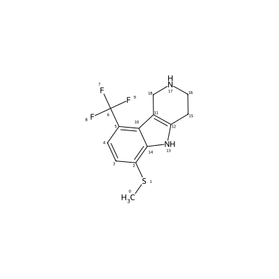 CSc1ccc(C(F)(F)F)c2c3c([nH]c12)CCNC3